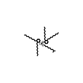 CCCCCCCCCc1cccc(OP(OCCCCCCCC(C)C)Oc2cccc(CCCCCCCCC)c2CCCCCCCCC)c1CCCCCCCCC